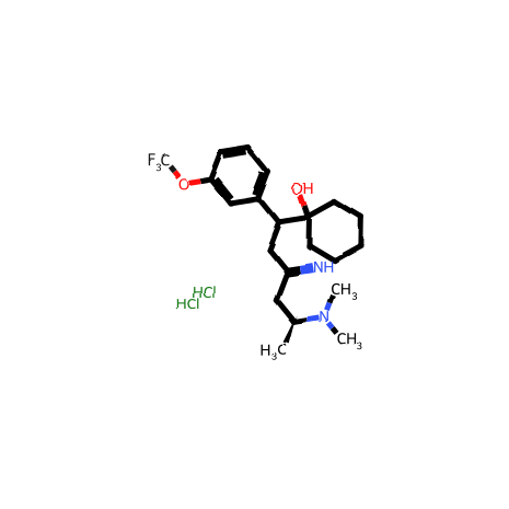 C[C@@H](CC(=N)CC(c1cccc(OC(F)(F)F)c1)C1(O)CCCCC1)N(C)C.Cl.Cl